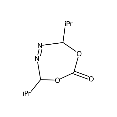 CC(C)C1N=NC(C(C)C)OC(=O)O1